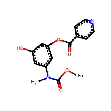 CN(C(=O)OC(C)(C)C)c1cc(O)cc(OC(=O)c2ccncc2)c1